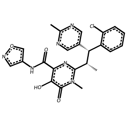 Cc1ncc([C@H](c2ccccc2Cl)[C@H](C)c2nc(C(=O)Nc3cnoc3)c(O)c(=O)n2C)cn1